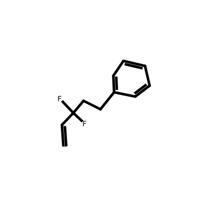 [CH]=CC(F)(F)CCc1ccccc1